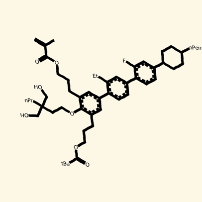 C=C(C)C(=O)OCCCc1cc(-c2ccc(-c3ccc(C4CCC(CCCCC)CC4)cc3F)cc2CC)cc(CCCOC(=O)C(C)(C)C)c1OCCC(CO)(CO)CCC